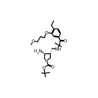 CCc1ccc(C(=O)C(C)(C)NC[C@@H]2CN(C(=O)OC(C)(C)C)C[C@H]2N)cc1OCCCOC